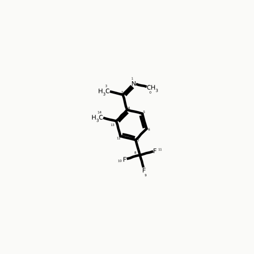 C/N=C(/C)c1ccc(C(F)(F)F)cc1C